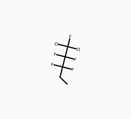 CCC(F)(F)C(F)(F)C(F)(Cl)Cl